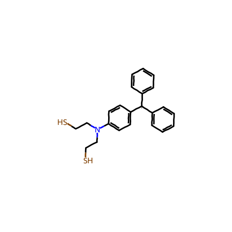 SCCN(CCS)c1ccc([C](c2ccccc2)c2ccccc2)cc1